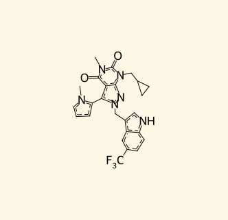 Cn1cccc1-c1c2c(=O)n(C)c(=O)n(CC3CC3)c2nn1Cc1c[nH]c2ccc(C(F)(F)F)cc12